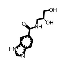 O=C(NC[C@@H](O)CO)c1ccc2nc[nH]c2c1